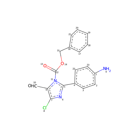 Nc1ccc(-c2nc(Cl)c(C=O)n2C(=O)OCc2ccccc2)cc1